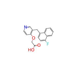 O=C(O)COc1ccncc1Cc1ccc(F)c2ccccc12